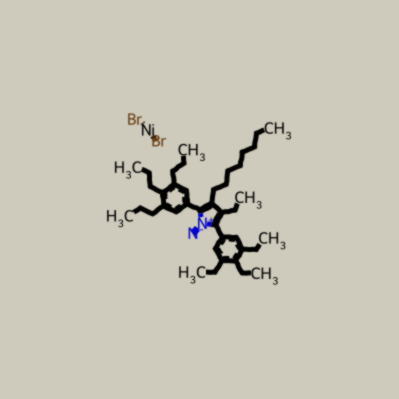 CCCCCCCCC1=C(c2cc(CCC)c(CCC)c(CCC)c2)[N+](=[N-])C(c2cc(CC)c(CC)c(CC)c2)=C1CC.[Br][Ni][Br]